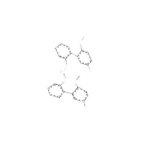 COc1ccc(Br)cc1-c1ccccc1OBOc1ccccc1-c1cc(Br)ccc1OC